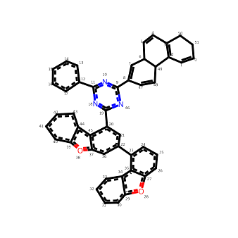 C1=CC2=C(C=CC3C=C(c4nc(-c5ccccc5)nc(-c5cc(-c6cccc7oc8ccccc8c67)cc6oc7ccccc7c56)n4)C=CC23)CC1